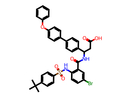 CC(C)(C)c1ccc(S(=O)(=O)Nc2ccc(Br)cc2C(=O)NC(CC(=O)O)c2ccc(-c3ccc(Oc4ccccc4)cc3)cc2)cc1